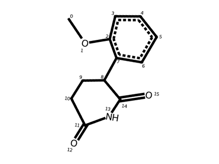 COc1ccccc1C1CCC(=O)NC1=O